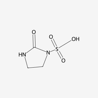 O=C1NCCN1S(=O)(=O)O